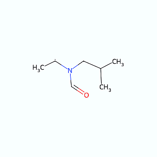 C[CH]N(C=O)CC(C)C